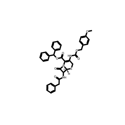 COc1ccc(COC(=O)NC2=C(C(=O)OC(c3ccccc3)c3ccccc3)N3C(=O)C(NC(=O)Cc4ccccc4)[C@H]3SC2)cc1